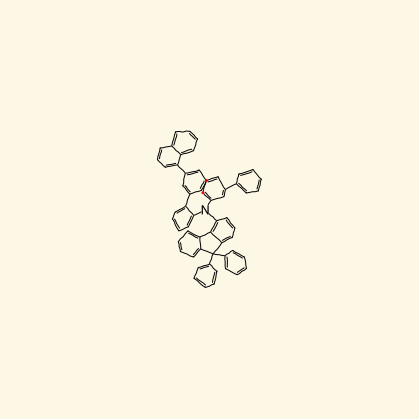 c1ccc(-c2cccc(N(c3ccccc3-c3cccc(-c4cccc5ccccc45)c3)c3cccc4c3-c3ccccc3C4(c3ccccc3)c3ccccc3)c2)cc1